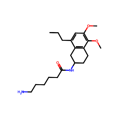 CCCc1cc(OC)c(OC)c2c1CC(NC(=O)CCCCCN)CC2